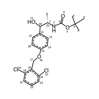 C[C@H](NC(=O)OC(C)(C)C)C(O)c1ccc(OCc2c(Cl)cccc2Cl)cc1